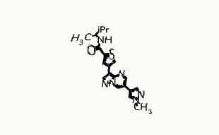 CC(C)C(C)NC(=O)c1cc(-c2cnn3cc(-c4cnn(C)c4)cnc23)cs1